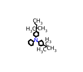 CCCC(C)(C)c1ccc(N(c2ccccc2)c2ccc(C(C)(C)C)cc2)cc1